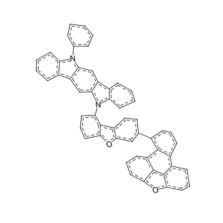 c1ccc(-n2c3ccccc3c3cc4c(cc32)c2ccccc2n4-c2cccc3oc4cc(-c5cccc6c7cccc8oc9cccc(c56)c9c87)ccc4c23)cc1